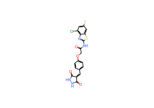 O=C(COc1ccc(C=C2C(=O)NNC2=O)cc1)Nc1nc2c(Cl)cc(F)cc2s1